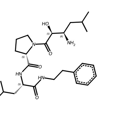 CC(C)C[C@H](NC(=O)[C@@H]1CCCN1C(=O)[C@@H](O)[C@H](N)CC(C)C)C(=O)NCCc1ccccc1